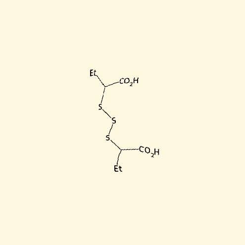 CCC(SSSC(CC)C(=O)O)C(=O)O